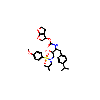 COc1ccc(S(=O)(=O)N(CC(C)C)CC(O)C(Cc2ccc(C(C)C)cc2)NC(=O)OC2COC3OCCC23)cc1